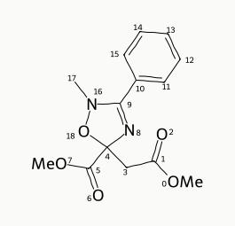 COC(=O)CC1(C(=O)OC)N=C(c2ccccc2)N(C)O1